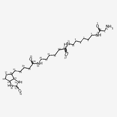 NCC(=O)NCCCCCCNC(=O)CCCCCNC(=O)CCCCC1SCC2NC(=O)NC21